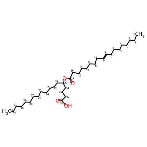 CCCCCCCCC=CCCCCCCCC(=O)OC(CCCCCCCCCCCCC)CCCC(=O)O